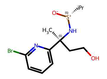 CC(C)[S@@+]([O-])N[C@@](C)(CCO)c1cccc(Br)n1